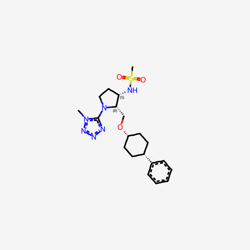 Cn1nnnc1N1CC[C@H](NS(C)(=O)=O)[C@@H]1CO[C@H]1CC[C@@H](c2ccccc2)CC1